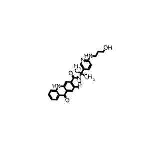 CC(C)(NC(=O)c1cc2[nH]c3ccccc3c(=O)c2cc1F)c1ccc(NCCCO)nc1